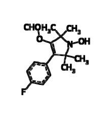 CC1(C)C(OC=O)=C(c2ccc(F)cc2)C(C)(C)N1O